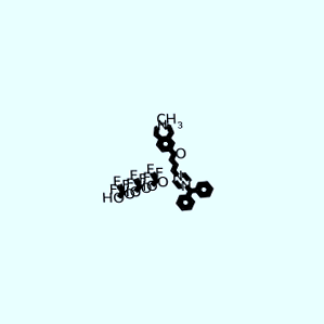 CN1CCc2ccc(C(=O)CCCN3CCN(C(c4ccccc4)c4ccccc4)CC3)cc2CC1.O=C(O)C(F)(F)F.O=C(O)C(F)(F)F.O=C(O)C(F)(F)F